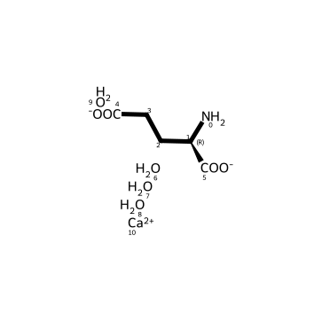 N[C@H](CCC(=O)[O-])C(=O)[O-].O.O.O.O.[Ca+2]